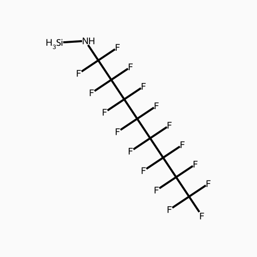 FC(F)(F)C(F)(F)C(F)(F)C(F)(F)C(F)(F)C(F)(F)C(F)(F)C(F)(F)N[SiH3]